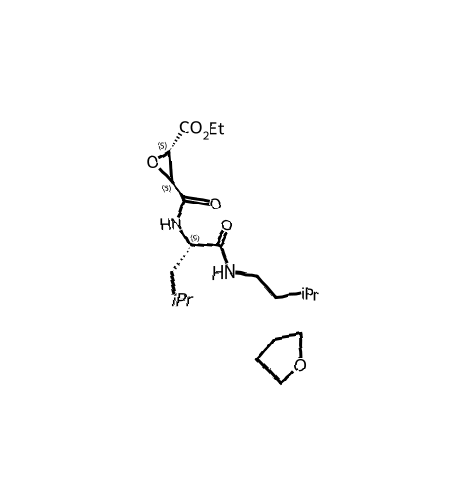 C1CCOC1.CCOC(=O)[C@H]1O[C@@H]1C(=O)N[C@@H](CC(C)C)C(=O)NCCC(C)C